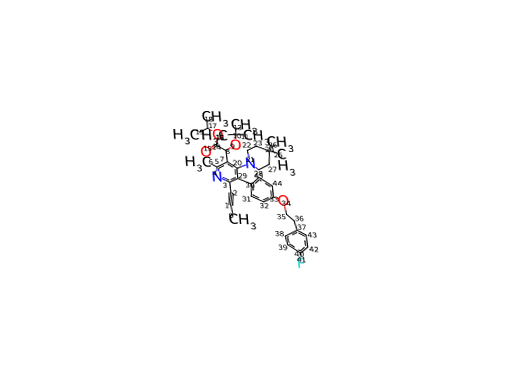 CC#Cc1nc(C)c(C(OC(C)(C)C)C(=O)OC(C)C)c(N2CCC(C)(C)CC2)c1-c1ccc(OCCc2ccc(F)cc2)cc1